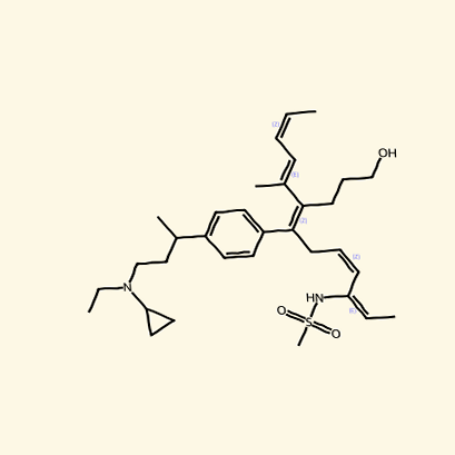 C\C=C/C=C(C)/C(CCCO)=C(/C/C=C\C(=C/C)NS(C)(=O)=O)c1ccc(C(C)CCN(CC)C2CC2)cc1